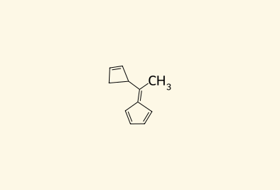 CC(=C1C=CC=C1)C1C=CC1